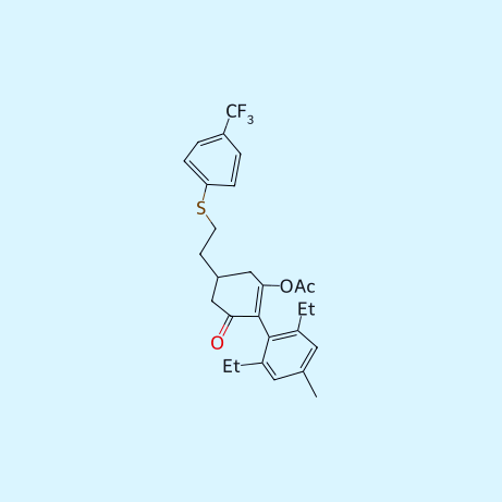 CCc1cc(C)cc(CC)c1C1=C(OC(C)=O)CC(CCSc2ccc(C(F)(F)F)cc2)CC1=O